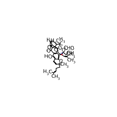 CC(C)=CCC[C@@]1(C)C=Cc2c(O)c3c(c(CC=C(C)C)c2O1)O[C@]12C(=C[C@@H]4CC1C(C)(C)OC2(C/C=C(/CO)OC=O)C4=O)C3=O